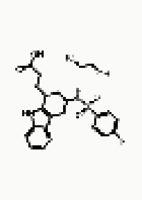 O=C(O)CCC1CC(NS(=O)(=O)c2ccc(F)cc2)Cc2c1[nH]c1ccccc21.OCCO